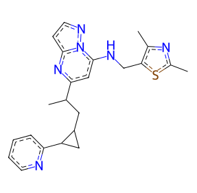 Cc1nc(C)c(CNc2cc(C(C)CC3CC3c3ccccn3)nc3ccnn23)s1